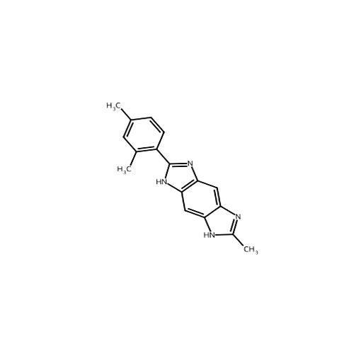 Cc1ccc(-c2nc3cc4nc(C)[nH]c4cc3[nH]2)c(C)c1